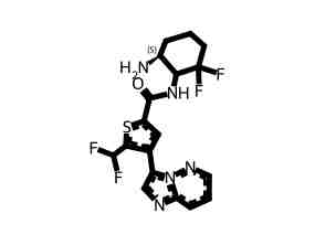 N[C@H]1CCCC(F)(F)C1NC(=O)c1cc(-c2cnc3cccnn23)c(C(F)F)s1